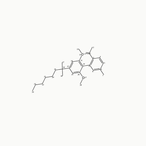 C=C(C)c1ccc(C)cc1-c1c(OC)cc(C(C)(C)CCCCCC)cc1OC